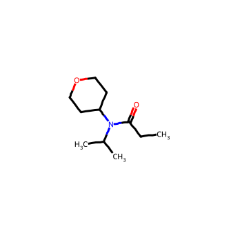 CCC(=O)N(C(C)C)C1CCOCC1